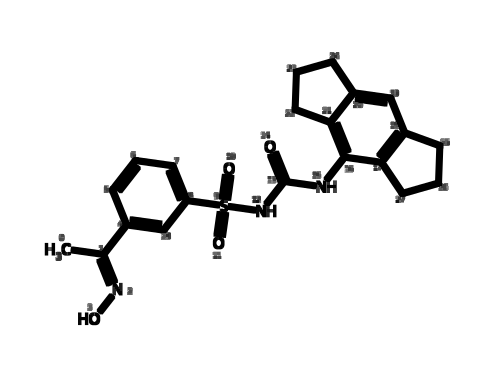 CC(=NO)c1cccc(S(=O)(=O)NC(=O)Nc2c3c(cc4c2CCC4)CCC3)c1